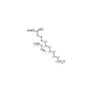 C=CCN.CCCCCCC(O)CCCCCCCCCCC(=O)O